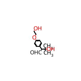 CC(C)(O)C(C=O)c1ccc(OCCO)cc1